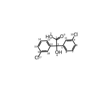 O=C(O)C(O)(c1cccc(Cl)c1)c1cccc(Cl)c1